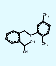 Cc1ccc(C)c(SCc2ccccc2C(O)C#N)c1